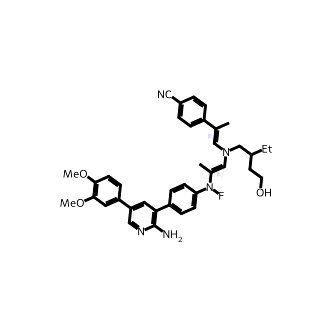 CCC(CCO)CN(/C=C(\C)c1ccc(C#N)cc1)/C=C(\C)N(F)c1ccc(-c2cc(-c3ccc(OC)c(OC)c3)cnc2N)cc1